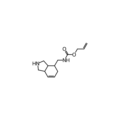 C=CCOC(=O)NCC1CC=CC2CNCC21